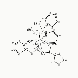 CC(C)(C)OC(=O)N1C2CC3(C4CCCC4)CC1[C@H](O[Si](c1ccccc1)(c1ccccc1)C(C)(C)C)C2N(Cc1ccccc1)C3